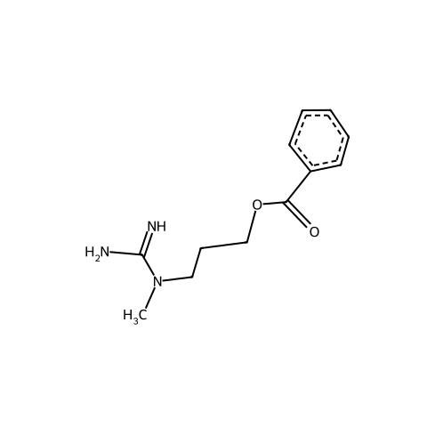 CN(CCCOC(=O)c1ccccc1)C(=N)N